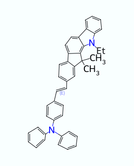 CCn1c2ccccc2c2ccc3c(c21)C(C)(C)c1cc(/C=C/c2ccc(N(c4ccccc4)c4ccccc4)cc2)ccc1-3